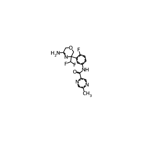 Cc1cnc(C(=O)Nc2ccc(F)c(C3(C(F)F)COCC(N)=N3)c2)cn1